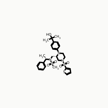 C[C@@H](c1ccccc1)N(C[C@H]1CN(S(=O)(=O)c2cccs2)CCN1c1ccc(C(C)(C)O)cc1)S(C)(=O)=O